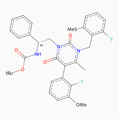 COc1cccc(-c2c(C)n(Cc3c(F)cccc3SC)c(=O)n(C[C@H](NC(=O)OC(C)(C)C)c3ccccc3)c2=O)c1F